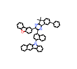 CC1(C)c2ccc(-c3ccccc3)cc2-c2nc(-c3ccc(-n4c5ccccc5c5cc6ccccc6cc54)c4ccccc34)c(-c3ccc4oc5ccccc5c4c3)nc21